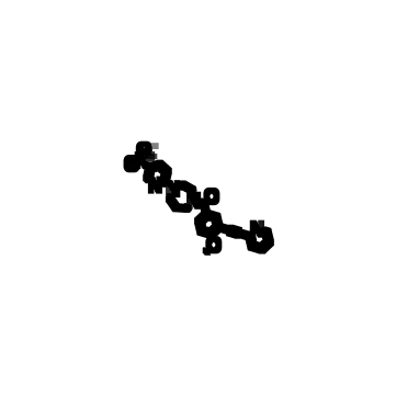 COc1ccc(C(=O)N2CCCN(c3ccc([N+](=O)[O-])cn3)CC2)cc1C#Cc1ccccn1